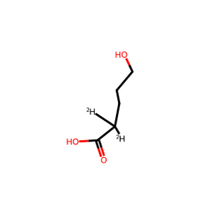 [2H]C([2H])(CCCO)C(=O)O